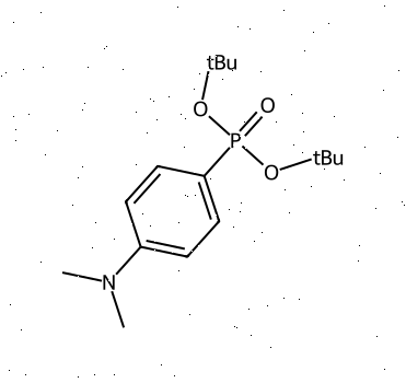 CN(C)c1ccc(P(=O)(OC(C)(C)C)OC(C)(C)C)cc1